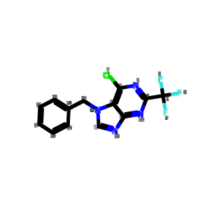 FC(F)(F)c1nc(Cl)c2c(ncn2Cc2ccccc2)n1